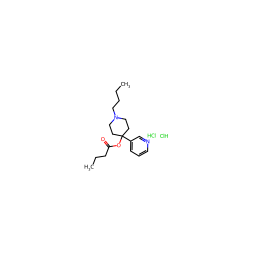 CCCCN1CCC(OC(=O)CCC)(c2cccnc2)CC1.Cl.Cl